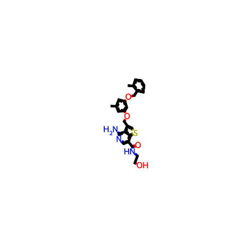 Cc1cc(OCc2ccccc2C)cc(OCc2csc3c(C(=O)NCCO)cnc(N)c23)c1